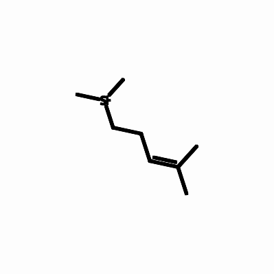 CC(C)=CCC[Si](C)C